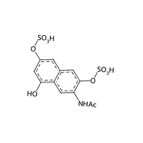 CC(=O)Nc1cc2c(O)cc(OS(=O)(=O)O)cc2cc1OS(=O)(=O)O